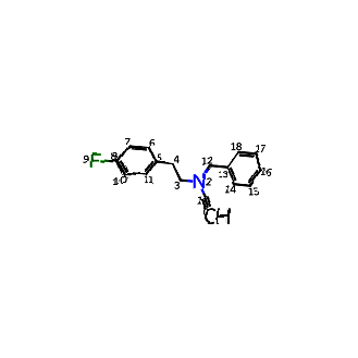 C#CN(CCc1ccc(F)cc1)Cc1ccccc1